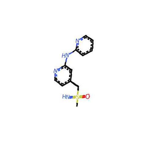 CS(=N)(=O)Cc1ccnc(Nc2ccccn2)c1